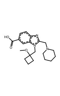 COC1(Cn2c(CN3CCCCC3)nc3ccc(C(=O)O)cc32)CCC1